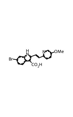 COc1ccc(/C=C/c2[nH]c3cc(Br)ccc3c2C(=O)O)nc1